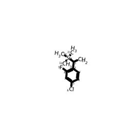 [CH2]C(c1ccc(Cl)cc1F)[Si](C)(C)C